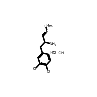 CCCCCCN=CC(N)Cc1ccc(Cl)c(Cl)c1.Cl.Cl